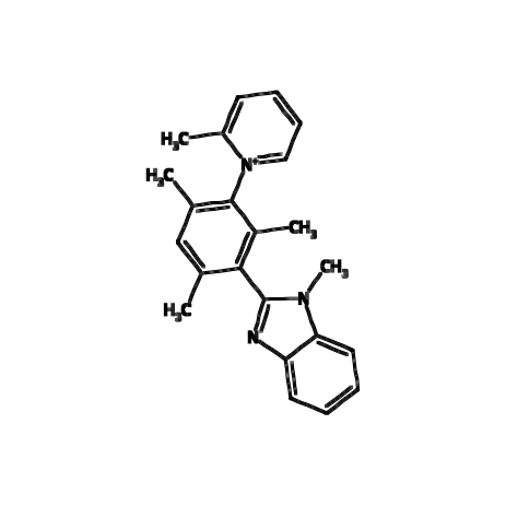 Cc1cc(C)c(-[n+]2ccccc2C)c(C)c1-c1nc2ccccc2n1C